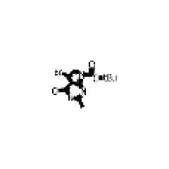 Cc1nc(Cl)c2c(Br)cn(C(=O)OC(C)(C)C)c2n1